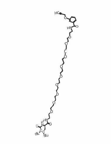 C#CCOc1cccc(C(=O)NCCOCCOCCOCCOCCOCCOCCOCCOCCOCCNC(=O)C(COC(C)(C)C)NC(=O)OC(C)(C)C)c1